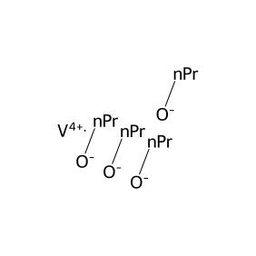 CCC[O-].CCC[O-].CCC[O-].CCC[O-].[V+4]